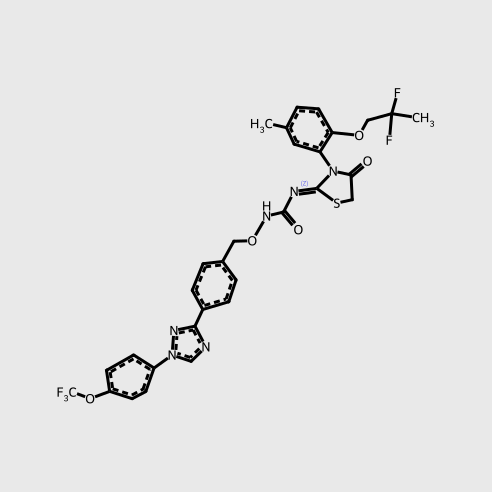 Cc1ccc(OCC(C)(F)F)c(N2C(=O)CS/C2=N\C(=O)NOCc2ccc(-c3ncn(-c4ccc(OC(F)(F)F)cc4)n3)cc2)c1